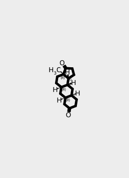 C[C@@]12CC[C@@H]3C[C@@H]4CC(=O)CC[C@@H]4C[C@H]3[C@H]1CCC2=O